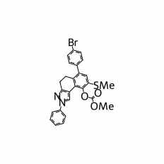 COC(=O)Oc1c(SC)cc(-c2ccc(Br)cc2)c2c1-c1cn(-c3ccccc3)nc1CC2